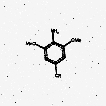 COc1cc(C#N)cc(OC)c1N